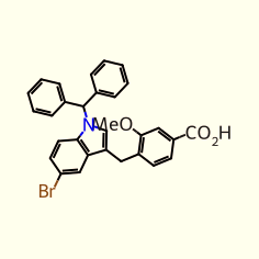 COc1cc(C(=O)O)ccc1Cc1cn(C(c2ccccc2)c2ccccc2)c2ccc(Br)cc12